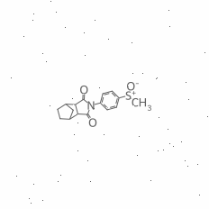 C[S+]([O-])c1ccc(N2C(=O)C3C4CCC(C4)C3C2=O)cc1